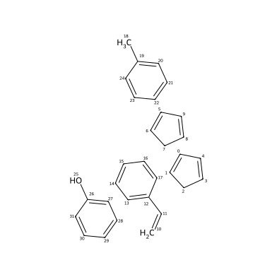 C1=CCC=C1.C1=CCC=C1.C=Cc1ccccc1.Cc1ccccc1.Oc1ccccc1